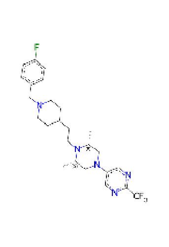 C[C@@H]1CN(c2cnc(C(F)(F)F)nc2)C[C@H](C)N1CCC1CCN(Cc2ccc(F)cc2)CC1